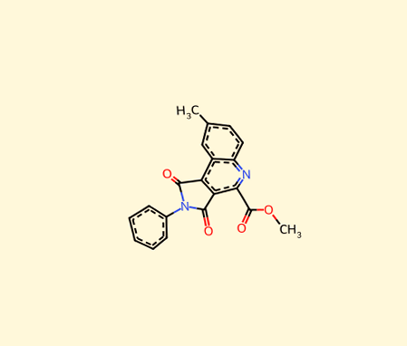 COC(=O)c1nc2ccc(C)cc2c2c1C(=O)N(c1ccccc1)C2=O